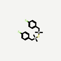 C[Si](C)(Cc1ccc(F)cc1)S[Si](C)(C)Cc1ccc(F)cc1